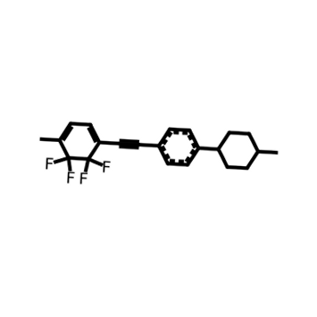 CC1=CC=C(C#Cc2ccc(C3CCC(C)CC3)cc2)C(F)(F)C1(F)F